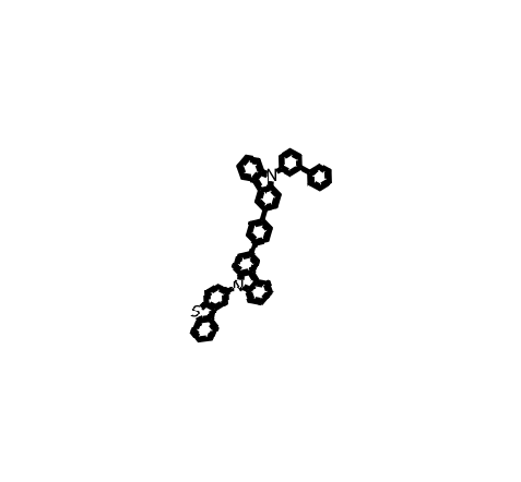 c1ccc(-c2cccc(-n3c4ccccc4c4cc(-c5ccc(-c6ccc7c(c6)c6ccccc6n7-c6ccc7sc8ccccc8c7c6)cc5)ccc43)c2)cc1